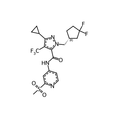 CS(=O)(=O)c1cc(NC(=O)c2c(C(F)(F)F)c(C3CC3)nn2C[C@@H]2CCC(F)(F)C2)ccn1